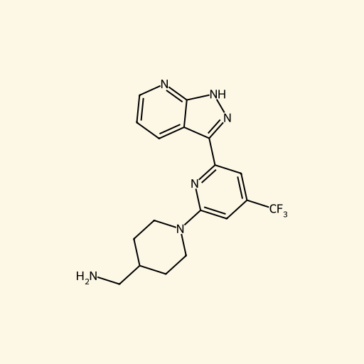 NCC1CCN(c2cc(C(F)(F)F)cc(-c3n[nH]c4ncccc34)n2)CC1